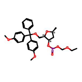 CCOCO[PH](=O)O[C@@H]1C[C@H](C)O[C@@H]1COC(c1ccccc1)(c1ccc(OC)cc1)c1ccc(OC)cc1